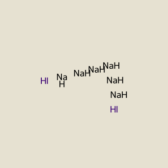 I.I.[NaH].[NaH].[NaH].[NaH].[NaH].[NaH]